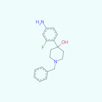 Nc1ccc(C2(O)CCN(Cc3ccccc3)CC2)c(F)c1